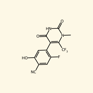 Cn1c(C(F)(F)F)c(-c2cc(O)c(C#N)cc2F)c(=O)[nH]c1=O